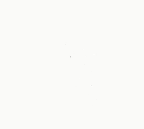 COC(=O)/C(=C\c1ccc(OC)nc1)NC(=O)OCc1ccccc1